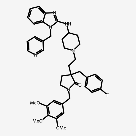 COc1cc(CN2CCC(CCN3CCC(Nc4nc5ccccc5n4Cc4cccnc4)CC3)(Cc3ccc(F)cc3)C2=O)cc(OC)c1OC